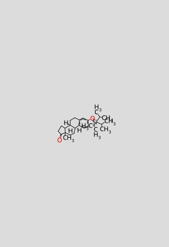 CC(C)[Si](Oc1ccc2c(c1)CC[C@@H]1[C@@H]2CC[C@]2(C)C(=O)CC[C@@H]12)(C(C)C)C(C)C